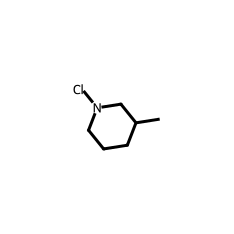 CC1CCCN(Cl)C1